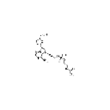 Nc1ncnc2c1c(C#CCOP(=O)(O)OCCNC(=O)C(F)(F)F)cn2C1CCC(CO)O1